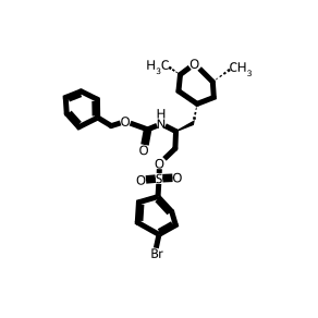 C[C@@H]1C[C@H](C[C@@H](COS(=O)(=O)c2ccc(Br)cc2)NC(=O)OCc2ccccc2)C[C@H](C)O1